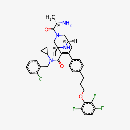 C[C@H](N)C(=O)N1C[C@@H]2CC(c3ccc(CCCOc4c(F)ccc(F)c4F)cc3)=C(C(=O)N(Cc3ccccc3Cl)C3CC3)[C@H](C1)N2